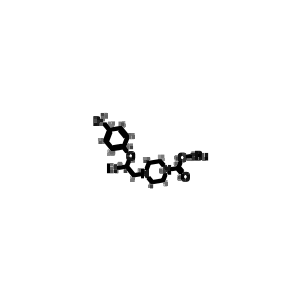 CCC(CN1CCN(C(=O)OC(C)(C)C)CC1)Oc1ccc(Br)cc1